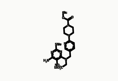 CCOC(=O)CN(Cc1ccc(N2CCN(C(=O)OC(C)(C)C)CC2)nc1)c1nc(SC)nc(N)c1[N+](=O)[O-]